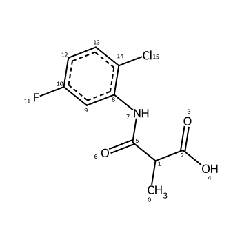 CC(C(=O)O)C(=O)Nc1cc(F)ccc1Cl